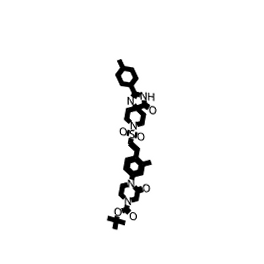 Cc1cc(N2CCN(C(=O)OC(C)(C)C)CC2=O)ccc1C=CS(=O)(=O)N1CCC2(CC1)N=C(C1CCC(C)CC1)NC2=O